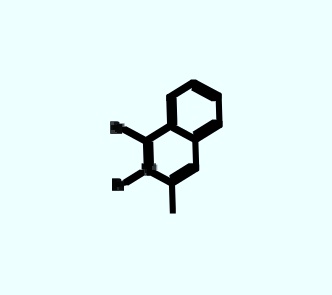 Cc1cc2ccccc2c(Br)[n+]1Br